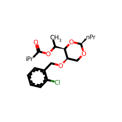 CCC[C@H]1OC[C@@H](OCc2ccccc2Cl)[C@@H](C(C)OC(=O)C(C)C)O1